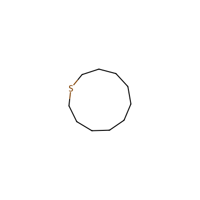 C1CCCCCSCCCC1